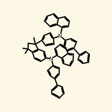 CC1(C)CC(C)(c2ccc(N(c3ccc(-c4ccccc4)cc3)c3cccc4ccccc34)cc2)c2cc(N(c3ccc(-c4ccccc4)cc3)c3cccc4ccccc34)ccc21